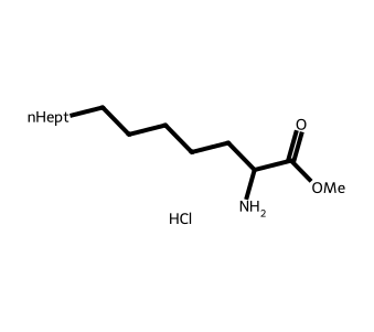 CCCCCCCCCCCCC(N)C(=O)OC.Cl